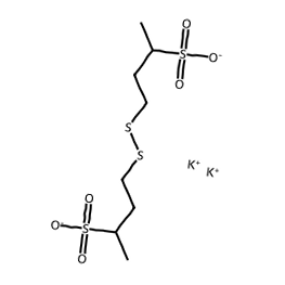 CC(CCSSCCC(C)S(=O)(=O)[O-])S(=O)(=O)[O-].[K+].[K+]